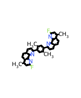 Cc1cc(-c2ccc3ccc4c(C)cc(F)nc4c3n2)c(C)cc1-c1ccc2ccc3c(C)cc(F)nc3c2n1